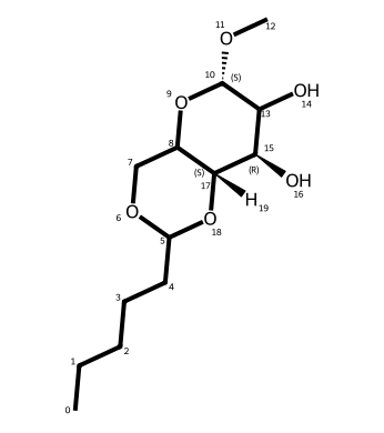 CCCCCC1OCC2O[C@H](OC)C(O)[C@@H](O)[C@@H]2O1